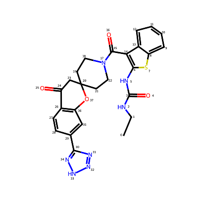 CCNC(=O)Nc1sc2ccccc2c1C(=O)N1CCC2(CC1)CC(=O)c1ccc(-c3nn[nH]n3)cc1O2